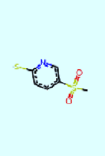 CS(=O)(=O)c1ccc([S])nc1